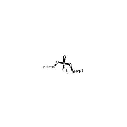 CCCCCCCOP(C)(=O)OCCCCCCC